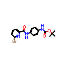 CC(C)(C)OC(=O)Nc1ccc(NC(=O)c2cccc(Br)n2)cc1